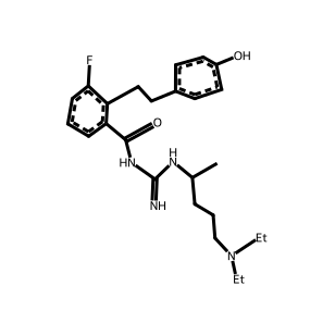 CCN(CC)CCCC(C)NC(=N)NC(=O)c1cccc(F)c1CCc1ccc(O)cc1